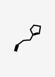 C#CCCC1=CCCC1